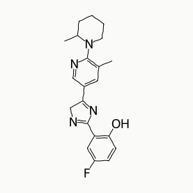 Cc1cc(C2=NC(c3cc(F)ccc3O)=NC2)cnc1N1CCCCC1C